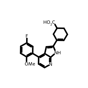 COc1ccc(F)cc1-c1ccnc2[nH]c(C3=CCCC(C(=O)O)C3)cc12